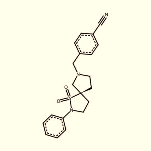 N#Cc1ccc(CN2CC[C@]3(CCN(c4ccccc4)S3(=O)=O)C2)cc1